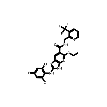 CCOc1nc2[nH]c(Nc3c(Cl)cc(F)cc3Cl)nc2cc1C(=O)NCc1ncccc1C(F)(F)F